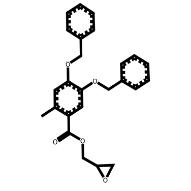 Cc1cc(OCc2ccccc2)c(OCc2ccccc2)cc1C(=O)OCC1CO1